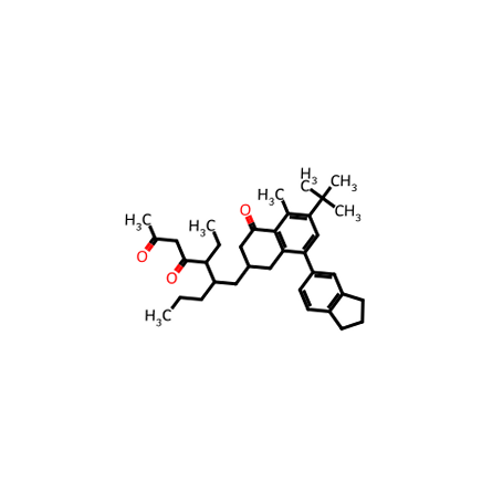 CCCC(CC1CC(=O)c2c(C)c(C(C)(C)C)cc(-c3ccc4c(c3)CCC4)c2C1)C(CC)C(=O)CC(C)=O